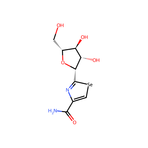 NC(=O)c1c[se]c([C@@H]2O[C@H](CO)[C@@H](O)[C@@H]2O)n1